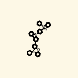 C1=CCCC(N2c3ccccc3Oc3cc(-c4ccc5c(c4)c4ccccc4n5-c4ccc(-c5nc6ccccc6n5-c5ccccc5)cc4)ccc32)=C1